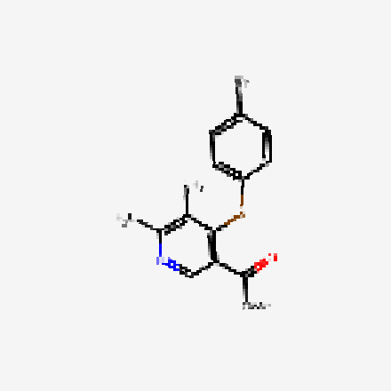 COC(=O)c1cnc(C(F)(F)F)c(C)c1Sc1ccc(C(C)C)cc1